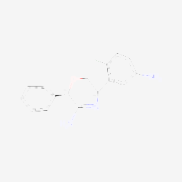 C[C@@]1(c2cc(N)ccc2F)CO[C@H](c2ccccc2)C(N)=N1